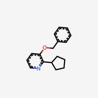 c1ccc(COc2cccnc2C2CCCC2)cc1